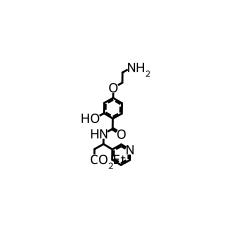 CCOC(=O)CC(NC(=O)c1ccc(OCCN)cc1O)c1cccnc1